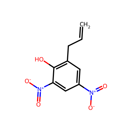 C=CCc1cc([N+](=O)[O-])cc([N+](=O)[O-])c1O